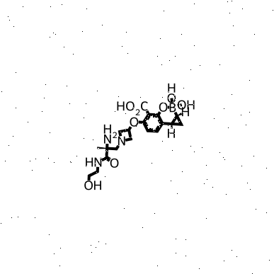 C[C@@](N)(CN1CC(Oc2ccc3c(c2C(=O)O)O[B-](O)(O)[C@@H]2C[C@H]32)C1)C(=O)NCCO